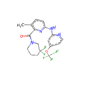 Cc1ccc(Nc2cc(OC(F)(F)F)ccn2)nc1C(=O)N1CCCC(F)(F)C1